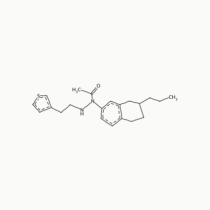 CCCC1CCc2ccc(N(NCCc3ccsc3)C(C)=O)cc2C1